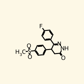 CS(=O)(=O)c1ccc(C2CC(=O)NN=C2c2ccc(F)cc2)cc1